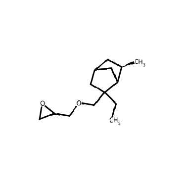 CCC1(COCC2CO2)CC2CC1[C@H](C)C2